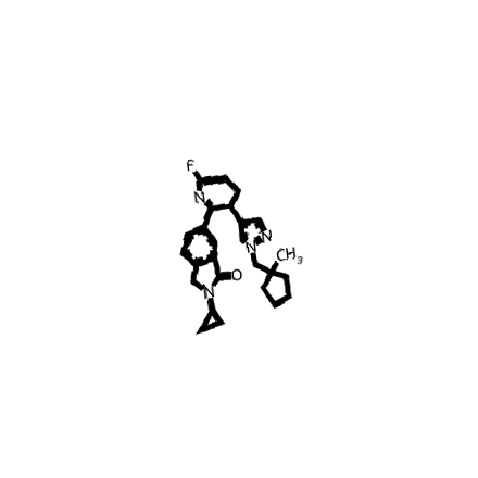 CC1(Cn2cc(C3CC=C(F)N=C3c3ccc4c(c3)C(=O)N(C3CC3)C4)cn2)CCCC1